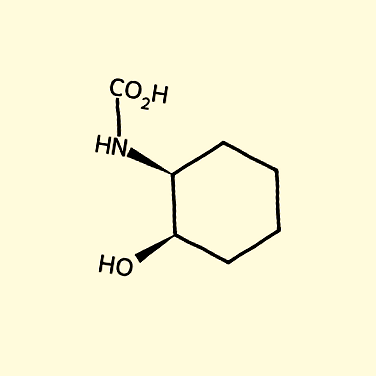 O=C(O)N[C@H]1CCCC[C@H]1O